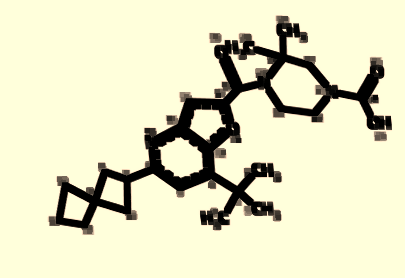 CC(C)(C)c1cc(C2CC3(CCC3)C2)nc2cc(C(=O)N3CCN(C(=O)O)CC3(C)C)oc12